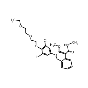 CCOCCOCCOc1c(Cl)cc(OCc2ccccc2C(=NOC)C(=O)NC)cc1Cl